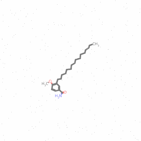 CCCCCCCCCCCCCCCCc1cc(C(N)=O)ccc1OC